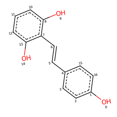 Oc1ccc(/C=C/c2c(O)cccc2O)cc1